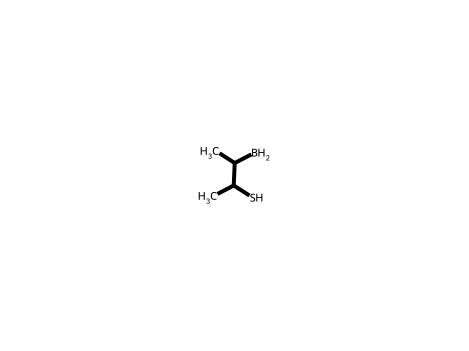 BC(C)C(C)S